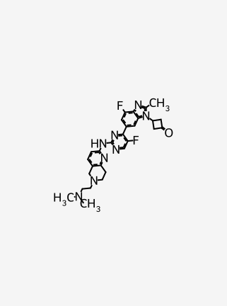 Cc1nc2c(F)cc(-c3nc(Nc4ccc5c(n4)CCN(CCN(C)C)C5)ncc3F)cc2n1C1CC(=O)C1